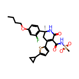 CCCCOc1ccc([C@]2(C)CC(c3ccc(C4CC4)s3)=C(C(=O)NS(C)(=O)=O)C(=O)N2)c(F)c1